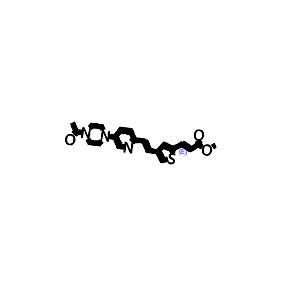 COC(=O)/C=C/c1cc(C=Cc2ccc(N3CCN(C(C)=O)CC3)cn2)cs1